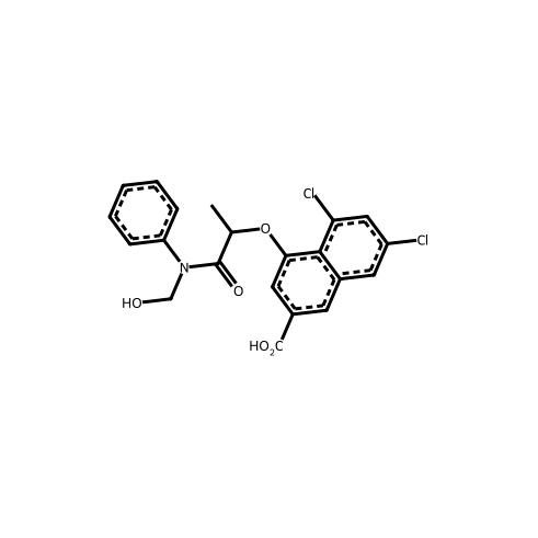 CC(Oc1cc(C(=O)O)cc2cc(Cl)cc(Cl)c12)C(=O)N(CO)c1ccccc1